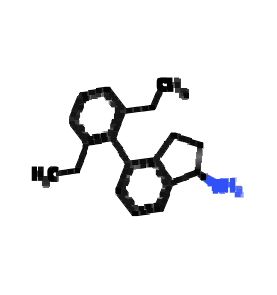 CCc1cccc(CC)c1-c1cccc2c1CC[C@H]2N